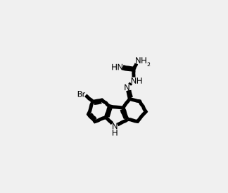 N=C(N)N/N=C1\CCCc2[nH]c3ccc(Br)cc3c21